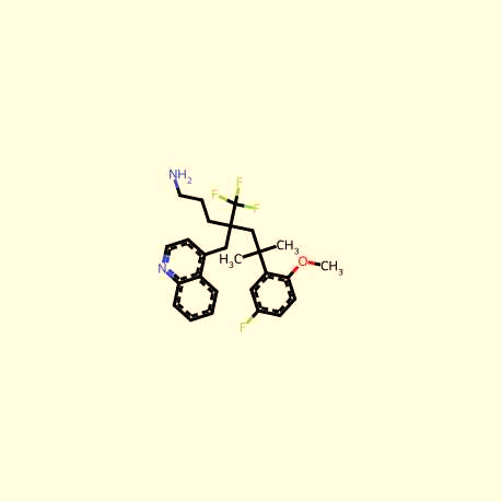 COc1ccc(F)cc1C(C)(C)CC(CCCN)(Cc1ccnc2ccccc12)C(F)(F)F